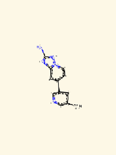 Nc1nc2cc(-c3cncc(C(=O)O)c3)ccn2n1